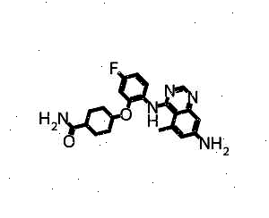 Cc1cc(N)cc2ncnc(Nc3ccc(F)cc3OC3CCC(C(N)=O)CC3)c12